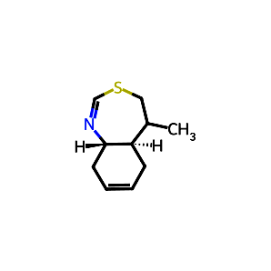 CC1CSC=N[C@H]2CC=CC[C@H]12